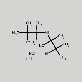 CCC(C)(C)[C](C)(C)[Hf][C](C)(C)C(C)(C)CC.Cl.Cl